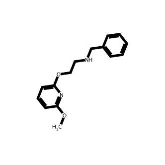 COc1cccc(OCCNCc2ccccc2)n1